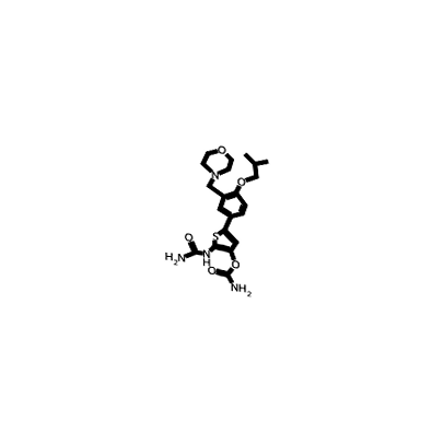 CC(C)COc1ccc(-c2cc(OC(N)=O)c(NC(N)=O)s2)cc1CN1CCOCC1